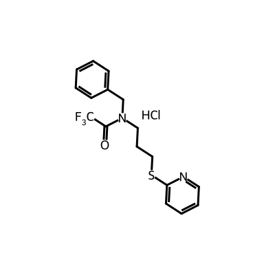 Cl.O=C(N(CCCSc1ccccn1)Cc1ccccc1)C(F)(F)F